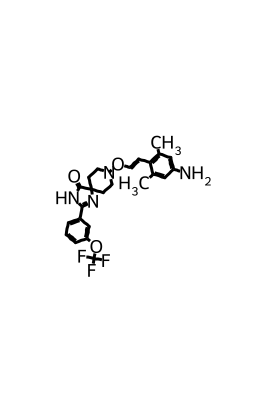 Cc1cc(N)cc(C)c1/C=C/ON1CCC2(CC1)N=C(c1cccc(OC(F)(F)F)c1)NC2=O